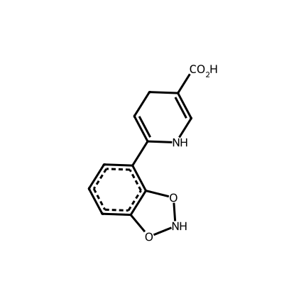 O=C(O)C1=CNC(c2cccc3c2ONO3)=CC1